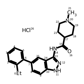 CCc1ccccc1-c1ccc2[nH]nc(NC(=O)C3CCN(C)CC3)c2c1.Cl